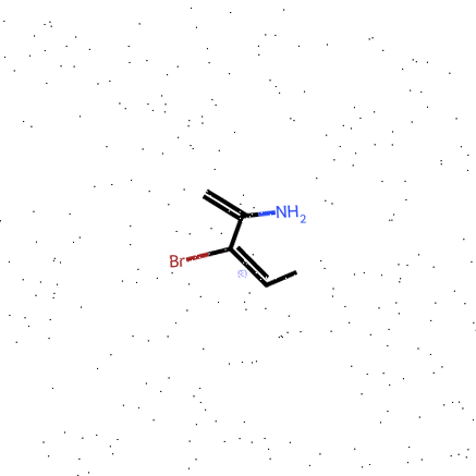 C=C(N)/C(Br)=C\C